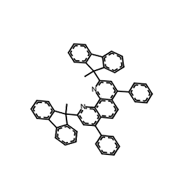 CC1(c2cc(-c3ccccc3)c3ccc4c(-c5ccccc5)cc(C5(C)c6ccccc6-c6ccccc65)nc4c3n2)c2ccccc2-c2ccccc21